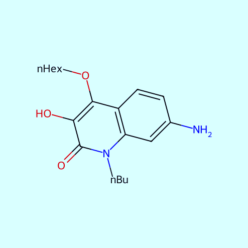 CCCCCCOc1c(O)c(=O)n(CCCC)c2cc(N)ccc12